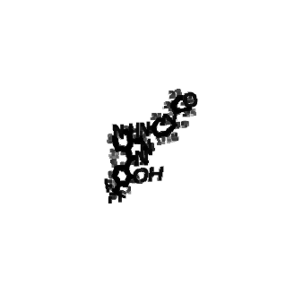 Oc1cc(C(F)(F)F)ccc1-c1nnc(N[C@@H]2CCCN(C3CCOC3)C2)c2cnccc12